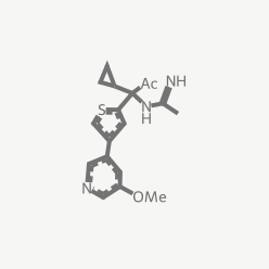 COc1cncc(-c2csc(C(NC(C)=N)(C(C)=O)C3CC3)c2)c1